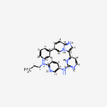 CCCNc1ccc(Nc2nccc(-c3cnc4ccc(-c5ccccc5)cn34)n2)cn1